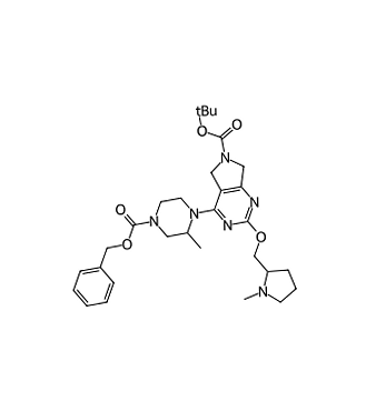 CC1CN(C(=O)OCc2ccccc2)CCN1c1nc(OCC2CCCN2C)nc2c1CN(C(=O)OC(C)(C)C)C2